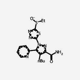 CCCCc1c(C(N)=O)nn(-c2nnc([S+]([O-])CC)s2)c1-c1ccccn1